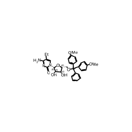 CCc1cn([C@@H]2O[C@H](COC(c3ccccc3)(c3ccc(OC)cc3)c3ccc(OC)cc3)[C@@H](O)[C@H]2O)c(=O)nc1N